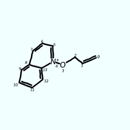 C=CCO[n+]1cccc2ccccc21